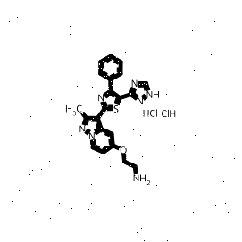 Cc1nn2ccc(OCCN)cc2c1-c1nc(-c2ccccc2)c(-c2nc[nH]n2)s1.Cl.Cl